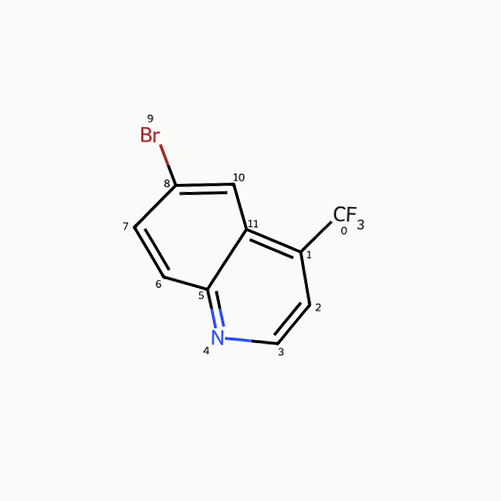 FC(F)(F)c1ccnc2ccc(Br)cc12